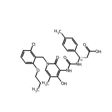 CCCOc1cccc(Cl)c1Cn1cc(C)c(O)c(NC(=O)N[C@@H](CC(=O)O)c2ccc(C)cc2)c1=O